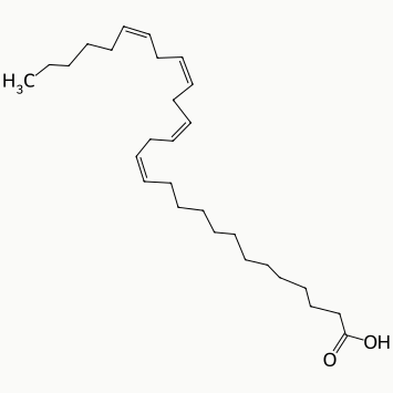 CCCCC/C=C\C/C=C\C/C=C\C/C=C\CCCCCCCCCCCC(=O)O